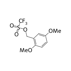 COc1ccc(OC)c(COS(=O)(=O)C(F)(F)F)c1